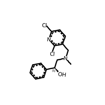 CN(Cc1ccc(Cl)nc1Cl)C[C@@H](O)c1ccccc1